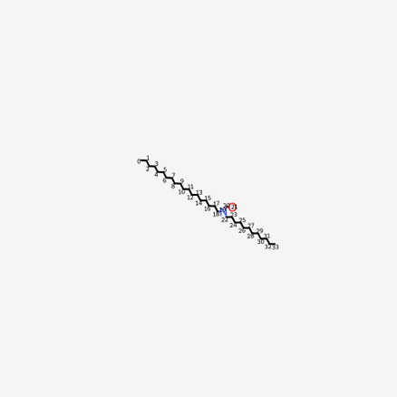 CCCCCCCCCCCCCCCCCCCN(C=O)CCCCCCCCCCCC